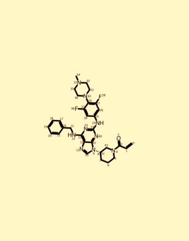 C=CC(=O)N1CCC[C@H](n2cnc3c(NCc4ccccc4)nc(Nc4cc(F)c(N5CCN(C)CC5)c(F)c4)nc32)C1